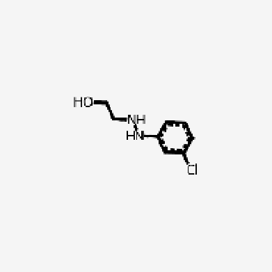 OCCNNc1cccc(Cl)c1